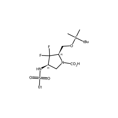 CCS(=O)(=O)N[C@@H]1CN(C(=O)O)[C@H](CO[Si](C)(C)C(C)(C)C)C1(F)F